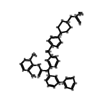 Cc1cccc(C)c1OC(=O)N(c1cccc(-c2ccccc2)c1)c1ccnc(Nc2ccc(N3CCN(CC(N)=O)CC3)cc2)n1